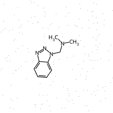 CN(C)Cn1nnc2ccccc21